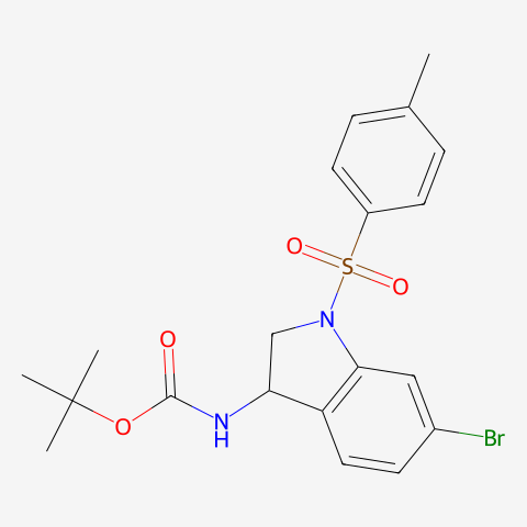 Cc1ccc(S(=O)(=O)N2CC(NC(=O)OC(C)(C)C)c3ccc(Br)cc32)cc1